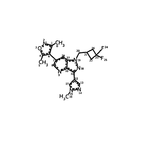 Cc1noc(C)c1-c1cnc2c(-c3cnn(C)c3)nn(CC3CC(F)(F)C3)c2c1